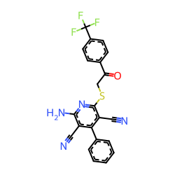 N#Cc1c(N)nc(SCC(=O)c2ccc(C(F)(F)F)cc2)c(C#N)c1-c1ccccc1